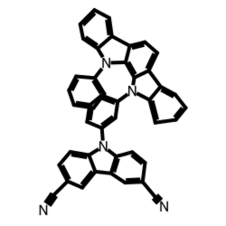 N#Cc1ccc2c(c1)c1cc(C#N)ccc1n2-c1cccc(-n2c3ccccc3c3ccc4c5ccccc5n(-c5ccccc5)c4c32)c1